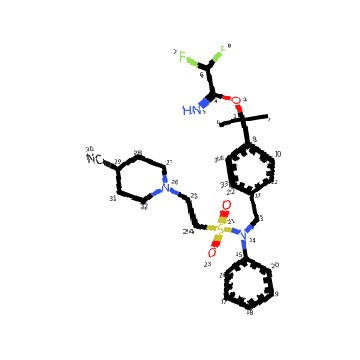 CC(C)(OC(=N)C(F)F)c1ccc(CN(c2ccccc2)S(=O)(=O)CCN2CCC(C#N)CC2)cc1